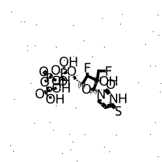 O=c1[nH]c(=S)ccn1[C@@H]1O[C@H](COP(=O)(O)OP(=O)(O)OP(=O)(O)O)C(F)[C@]1(O)CF